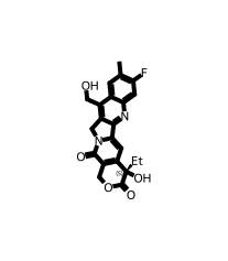 CC[C@@]1(O)C(=O)OCc2c1cc1n(c2=O)Cc2c-1nc1cc(F)c(C)cc1c2CO